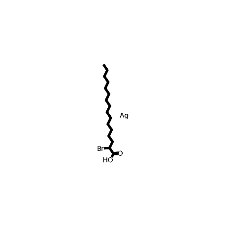 CCCCCCCCCCCCCCC(Br)C(=O)O.[Ag]